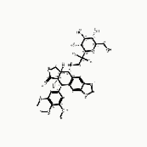 COc1cc([C@@H]2c3cc4c(cc3[C@@H](NCC(F)(F)[C@@H]3O[C@H](CO)[C@@H](O)[C@H](O)[C@H]3O)[C@H]3COC(=O)[C@H]23)OCO4)cc(OC)c1OC